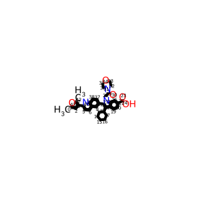 Cc1cc(-c2ccc3cc(-c4c(C5CCCCC5)c5ccc(C(=O)O)cc5n4CC(=O)N4CCOCC4)ccc3n2)c(C)o1